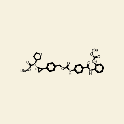 CC(C)(C)OC(=O)Nc1ccccc1NC(=O)c1ccc(NC(=O)OCc2ccc(C3C[C@@H]3N(C(=O)OC(C)(C)C)C3CCOC3)cc2)cc1